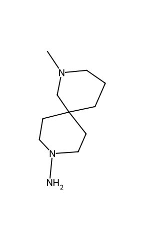 CN1CCCC2(CCN(N)CC2)C1